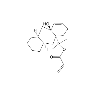 C=CC(=O)OC(C)(C)[C@@]12CCC=C[C@@]1(O)C[C@@H]1CCCC[C@@H]1C2